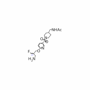 CC(=O)NCC1CCN(S(=O)(=O)c2ccc(OC/C(=C\F)CN)nc2)CC1